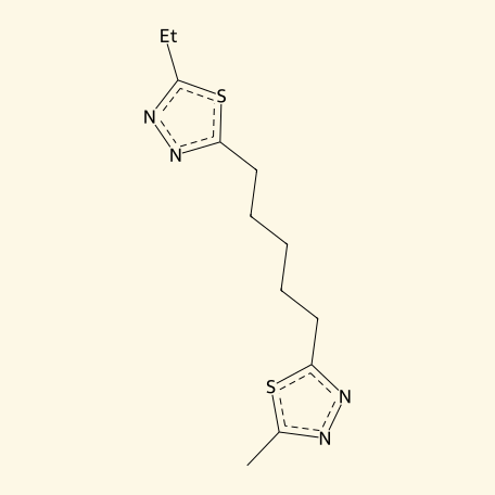 CCc1nnc(CCCCCc2nnc(C)s2)s1